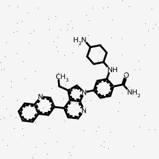 CCc1cn(-c2ccc(C(N)=O)c(NC3CCC(N)CC3)c2)c2nccc(-c3cnc4ccccc4c3)c12